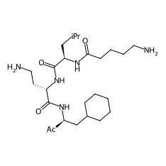 CC(=O)[C@H](CC1CCCCC1)NC(=O)[C@H](CCN)NC(=O)[C@@H](CC(C)C)NC(=O)CCCCN